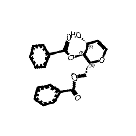 O=C(OC[C@H]1OC=C[C@@H](O)[C@@H]1OC(=O)c1ccccc1)c1ccccc1